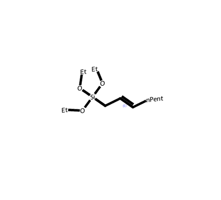 CCCCC/C=C/C[Si](OCC)(OCC)OCC